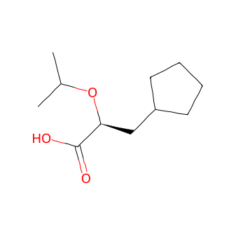 CC(C)O[C@@H](CC1CCCC1)C(=O)O